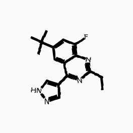 CCc1nc(-c2cn[nH]c2)c2cc(C(C)(C)C)cc(F)c2n1